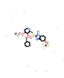 COc1ccnc(C[S+]([O-])c2nc3cc(OC(F)(F)F)ccc3[nH]2)c1OCc1ccccc1